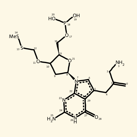 C=C(CN)Cc1cn([C@H]2CC(OCSSC)[C@@H](COP(O)O)O2)c2nc(N)[nH]c(=O)c12